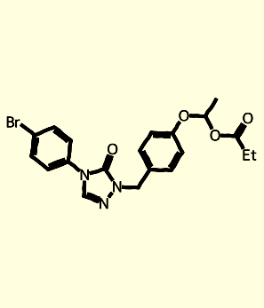 CCC(=O)OC(C)Oc1ccc(Cn2ncn(-c3ccc(Br)cc3)c2=O)cc1